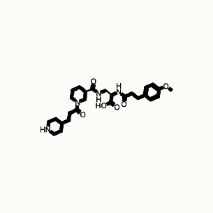 COc1ccc(CCC(=O)N[C@H](CNC(=O)[C@@H]2CCCN(C(=O)CCC3CCNCC3)C2)C(=O)O)cc1